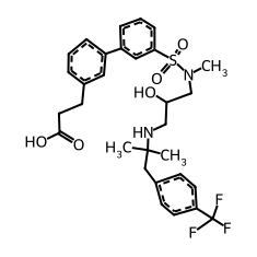 CN(CC(O)CNC(C)(C)Cc1ccc(C(F)(F)F)cc1)S(=O)(=O)c1cccc(-c2cccc(CCC(=O)O)c2)c1